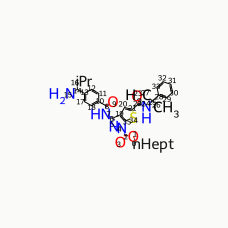 CCCCCCCOC(=O)n1nc(NC(=O)c2ccc(C(N)C(C)C)cc2)c2cc(C(=O)NC(C)(C)c3ccccc3)sc21